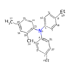 CCc1ccc(N(c2ccc(CC)cc2)c2ccc(C)cc2C)cc1